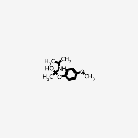 COc1ccc(OC(C)(O)NC(C)C)cc1